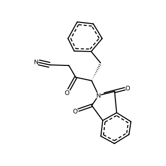 N#CCC(=O)[C@H](Cc1ccccc1)N1C(=O)c2ccccc2C1=O